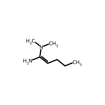 CCC/C=C(/N)N(C)C